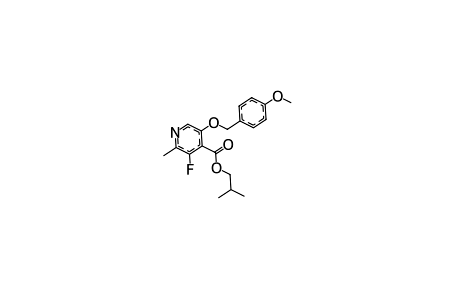 COc1ccc(COc2cnc(C)c(F)c2C(=O)OCC(C)C)cc1